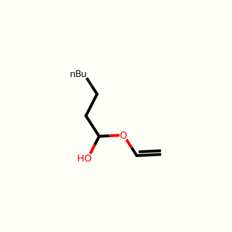 C=COC(O)CCCCCC